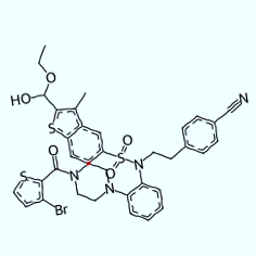 CCOC(O)c1sc2ccc(S(=O)(=O)N(CCc3ccc(C#N)cc3)c3ccccc3N3CCN(C(=O)c4sccc4Br)CC3)cc2c1C